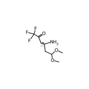 COC(C/C(N)=C/C(=O)C(F)(F)F)OC